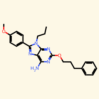 CCCn1c(-c2ccc(OC)cc2)nc2c(N)nc(OCCCc3ccccc3)nc21